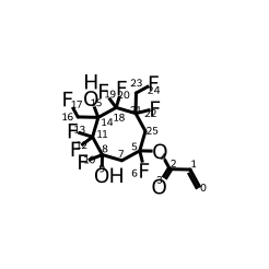 C=CC(=O)OC1(F)CC(O)(F)C(F)(F)C(O)(CF)C(F)(F)C(F)(CF)C1